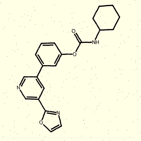 O=C(NC1CCCCC1)Oc1cccc(-c2cncc(-c3ncco3)c2)c1